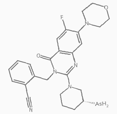 N#Cc1ccccc1Cn1c(N2CCC[C@@H]([AsH2])C2)nc2cc(N3CCOCC3)c(F)cc2c1=O